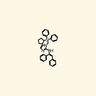 B(C(=Cc1ccccc1)c1ccccc1)c1nccn1C[Si](c1ccccc1)(c1ccccc1)C1CCCC1